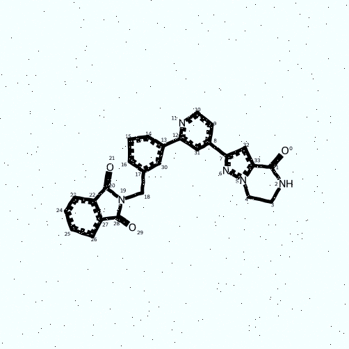 O=C1NCCn2nc(-c3ccnc(-c4cccc(CN5C(=O)c6ccccc6C5=O)c4)c3)cc21